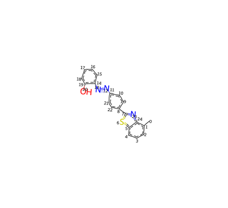 Cc1cccc2sc(-c3ccc(/N=N/c4ccccc4O)cc3)nc12